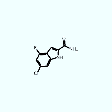 NC(=O)c1cc2c(F)cc(Cl)cc2[nH]1